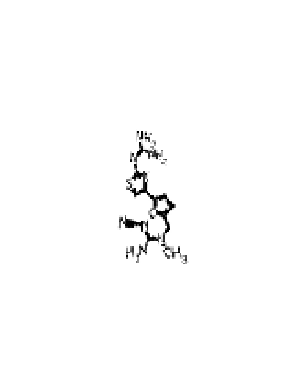 CN(Cc1ccc(-c2csc(N=C(N)N)n2)o1)C(N)=NC#N